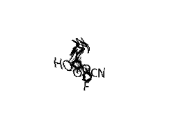 Cc1ncnc2c1ccn2[C@@H]1C[C@H](Oc2ccc(F)cc2C#N)[C@@H](O)[C@H]1O